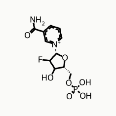 NC(=O)c1ccc[n+]([C@@H]2O[C@H](COP(=O)(O)O)C(O)C2F)c1